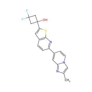 Cc1cn2ccc(-c3ccc4cc(C5(O)CC(F)(F)C5)sc4n3)cc2n1